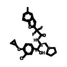 Cc1ccc2oc(C(F)(F)C(=O)N[C@H](CN3CCCC3)[C@@H](O)c3ccc(OC4CC4)c(Cl)c3)cc2c1